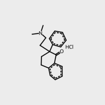 CN(C)CCC1(c2ccccc2)CCc2ccccc2C1=O.Cl